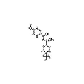 COc1ccc(C(=O)CC(O)c2ccc(C(C)(C)C)cc2)cc1